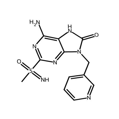 CS(=N)(=O)c1nc(N)c2[nH]c(=O)n(Cc3cccnc3)c2n1